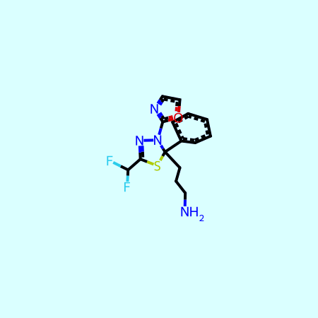 NCCCC1(c2ccccc2)SC(C(F)F)=NN1c1ncco1